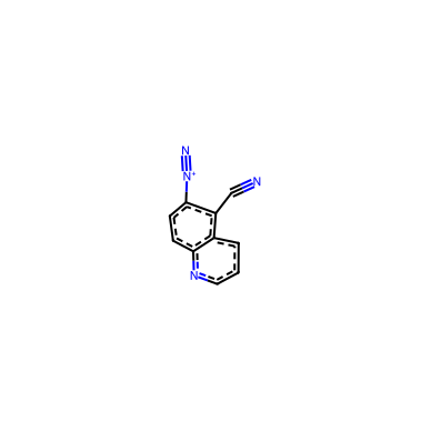 N#Cc1c([N+]#N)ccc2ncccc12